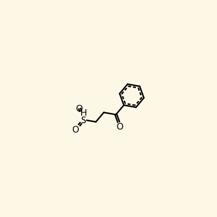 O=C(CC[SH](=O)=O)c1ccccc1